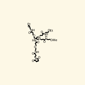 CCOCCNC(=O)CCOCC(COCCC(=O)NCCOC)(COCCC(=O)NCCOCC)NC(=O)CCOCCNC(=O)CCN1C(=O)C=CC1=O